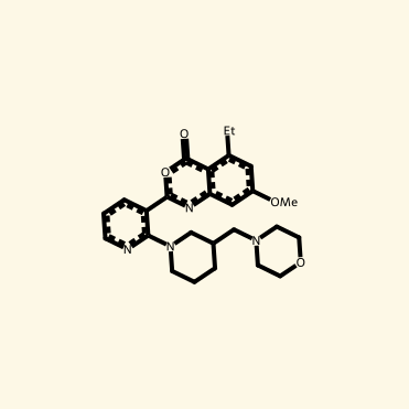 CCc1cc(OC)cc2nc(-c3cccnc3N3CCCC(CN4CCOCC4)C3)oc(=O)c12